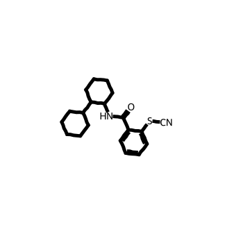 N#CSc1ccccc1C(=O)NC1CCCCC1C1CCCCC1